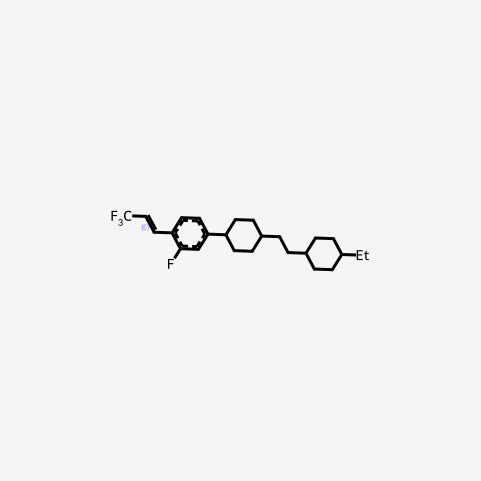 CCC1CCC(CCC2CCC(c3ccc(/C=C/C(F)(F)F)c(F)c3)CC2)CC1